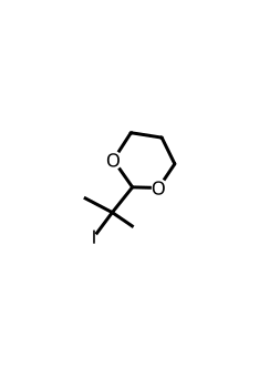 CC(C)(I)C1OCCCO1